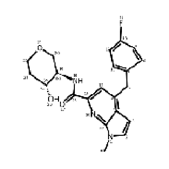 Cn1ccc2c(Cc3ccc(F)cc3)cc(C(=O)N[C@@H]3COCC[C@H]3O)nc21